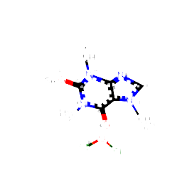 ClOCl.Cn1c(=O)c2c(ncn2C)n(C)c1=O.[Se]